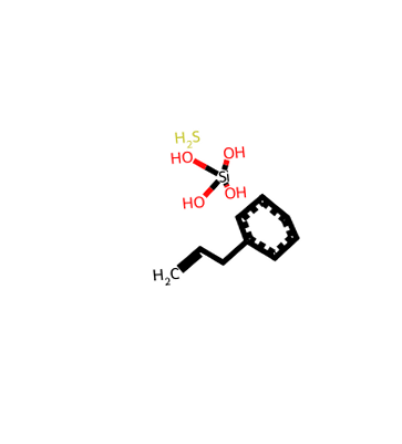 C=CCc1ccccc1.O[Si](O)(O)O.S